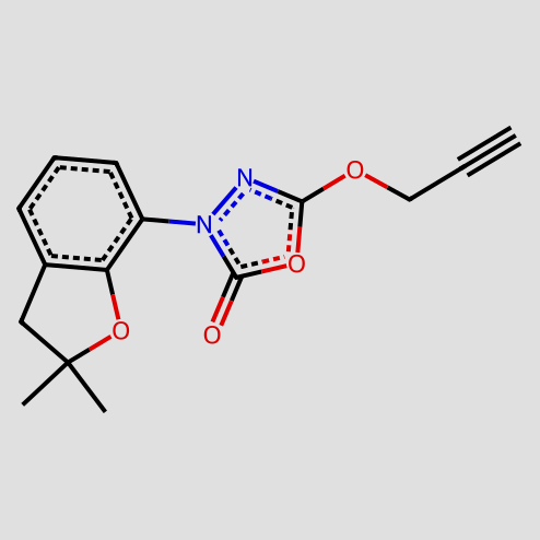 C#CCOc1nn(-c2cccc3c2OC(C)(C)C3)c(=O)o1